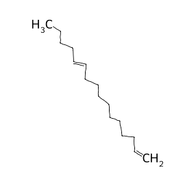 C=CCCCCCCCCC=CCCCC